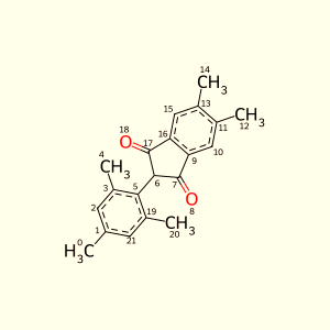 Cc1cc(C)c(C2C(=O)c3cc(C)c(C)cc3C2=O)c(C)c1